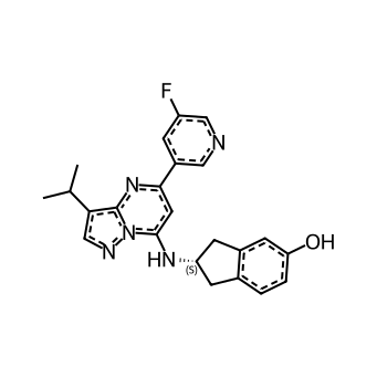 CC(C)c1cnn2c(N[C@H]3Cc4ccc(O)cc4C3)cc(-c3cncc(F)c3)nc12